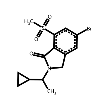 CC(C1CC1)N1Cc2cc(Br)cc(S(C)(=O)=O)c2C1=O